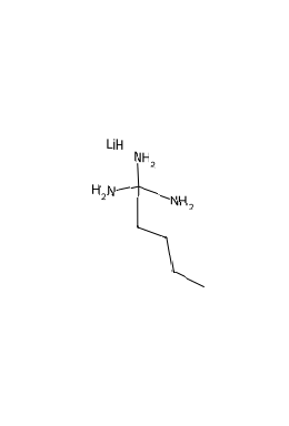 CCCCC(N)(N)N.[LiH]